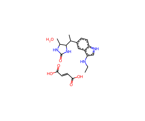 CCNc1c[nH]c2ccc(C(C)C3NC(=O)NC3C)cc12.O.O=C(O)C=CC(=O)O